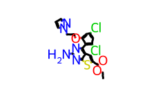 CCOC(=O)c1cc2c(-c3c(Cl)cc(Cl)cc3OCCn3cccn3)nc(N)nc2s1